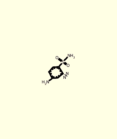 N#N.Nc1ccc(S(N)(=O)=O)cc1